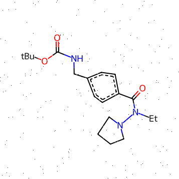 CCN(C(=O)c1ccc(CNC(=O)OC(C)(C)C)cc1)N1CCCC1